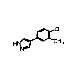 Cc1cc(-c2cn[nH]c2)ccc1Cl